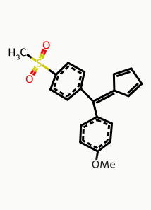 COc1ccc(C(=C2C=CC=C2)c2ccc(S(C)(=O)=O)cc2)cc1